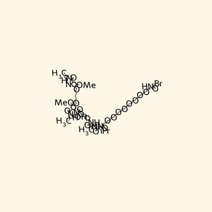 COc1cc2c(cc1OCCCCCOc1cc3c(cc1OC)C(=O)N1C=C(C)C[C@H]1[C@H](O)N3C(=O)OCc1ccc(NC(=O)[C@H](C)NC(=O)[C@@H](NC(=O)CCOCCOCCOCCOCCOCCOCCOCCOCCNC(=O)CBr)C(C)C)cc1)N=C[C@@H]1CC(C)=CN1C2=O